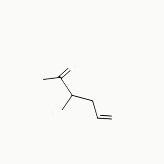 CC(=O)C(S)CC=O